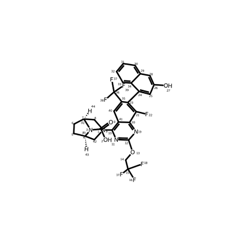 O=C(O)N1[C@@H]2CC[C@H]1CN(c1nc(OCC(F)(F)F)nc3c(F)c(-c4cc(O)cc5ccccc45)c(C(F)(F)F)cc13)C2